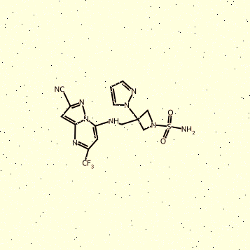 N#Cc1cc2nc(C(F)(F)F)cc(NCC3(n4cccn4)CN(S(N)(=O)=O)C3)n2n1